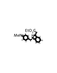 CCOC(=O)Cc1nn(Cc2ccc(NC)cc2)c2ccccc12